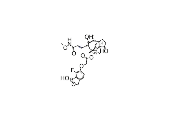 CONC(=O)/C=C/[C@]1(C)C[C@@H](OC(=O)COc2ccc3c(c2F)B(O)OC3)[C@]2(C)[C@H](C)CC[C@]3(CCC(=O)[C@H]32)[C@@H](C)[C@@H]1O